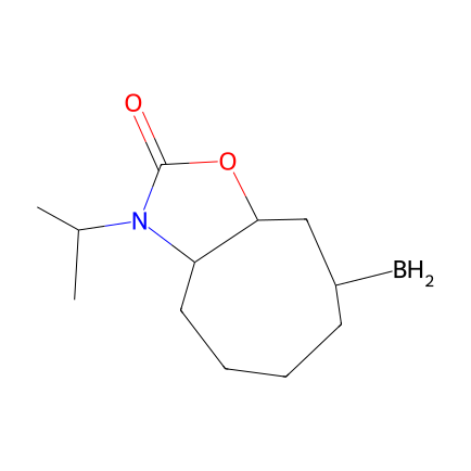 BC1CCCCC2C(C1)OC(=O)N2C(C)C